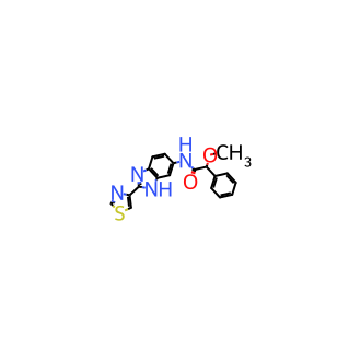 COC(C(=O)Nc1ccc2nc(-c3cscn3)[nH]c2c1)c1ccccc1